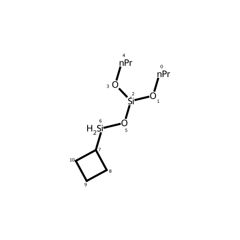 CCCO[Si](OCCC)O[SiH2]C1CCC1